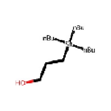 CCC[CH2][Sn]([CH2]CCC)([CH2]CCC)[CH2]CCO